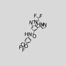 C[C@@H](C(F)F)n1cnc2cc(C(=O)Nc3ccc(OC(F)(F)Cl)cc3)cc(-c3ccn[nH]3)c21